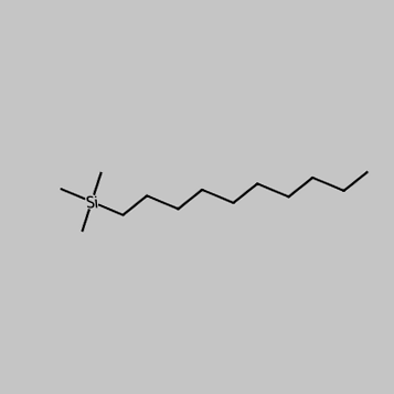 CCCCCCCCCC[Si](C)(C)C